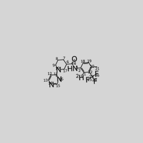 [2H]c1c(NC(=O)C2CCCN(c3ccncn3)C2)ccc(C)c1C(F)(F)F